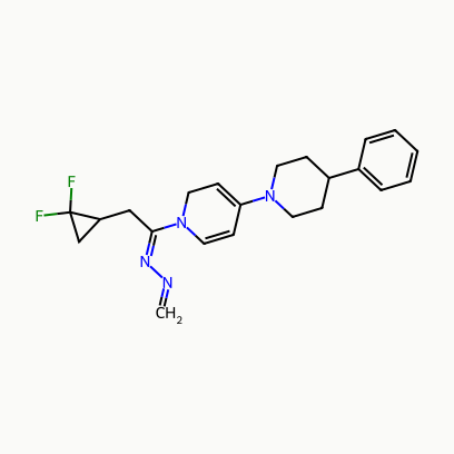 C=N/N=C(/CC1CC1(F)F)N1C=CC(N2CCC(c3ccccc3)CC2)=CC1